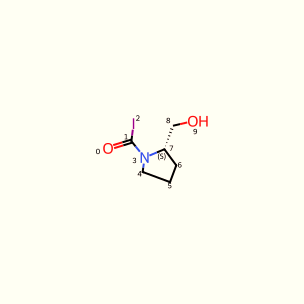 O=C(I)N1CCC[C@H]1CO